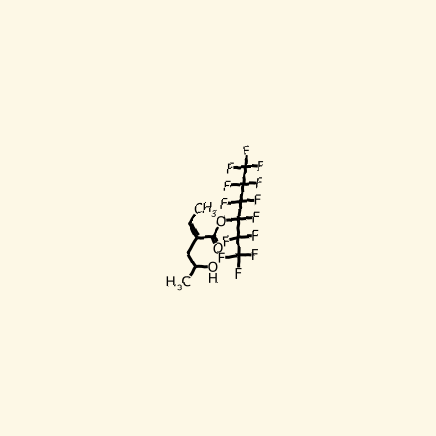 CC=C(CC(C)O)C(=O)OC(F)(C(F)(F)C(F)(F)F)C(F)(F)C(F)(F)C(F)(F)F